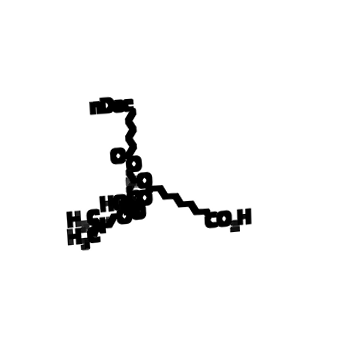 C=[N+](C)CCOP(=O)(O)OC[C@@H](COC(=O)CCCCCCCCCCCCCCC)OC(=O)CCCCCCCC(=O)O